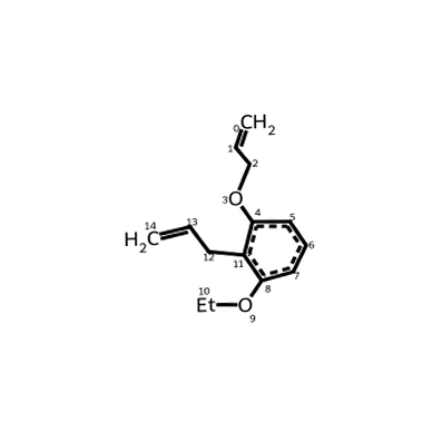 C=CCOc1cccc(OCC)c1CC=C